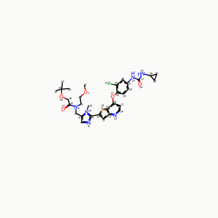 COCCN(Cc1cnc(-c2cc3nccc(Oc4ccc(NC(=O)NC5CC5)cc4F)c3s2)n1C)C(=O)COC(C)(C)C